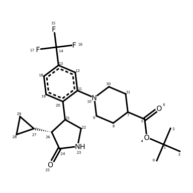 CC(C)(C)OC(=O)C1CCN(c2cc(C(F)(F)F)ccc2C2CNC(=O)[C@@H]2C2CC2)CC1